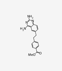 COC(=O)c1ccc(CCc2ccc3nc(N)nc(N)c3c2)cc1